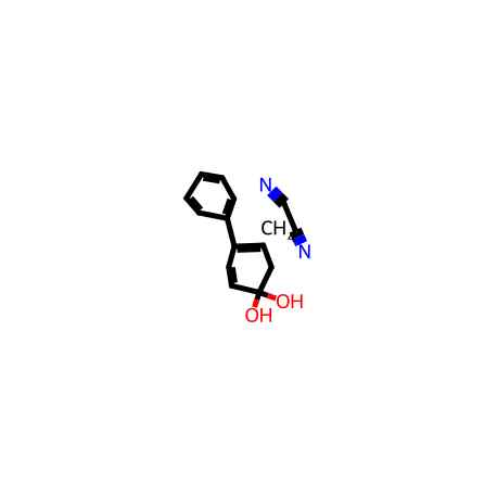 C.N#CC#N.OC1(O)C=CC(c2ccccc2)=CC1